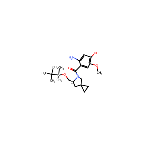 COc1cc(C(=O)N2CC3(CC3)C[C@H]2CO[Si](C)(C)C(C)(C)C)c(N)cc1O